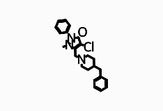 Cn1c(CN2CCC(Cc3ccccc3)CC2)c(Cl)c(=O)n1-c1ccccc1